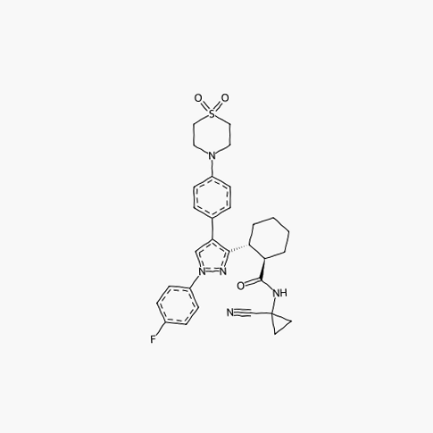 N#CC1(NC(=O)[C@@H]2CCCC[C@H]2c2nn(-c3ccc(F)cc3)cc2-c2ccc(N3CCS(=O)(=O)CC3)cc2)CC1